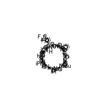 CC[C@H](C)[C@@H]1NC(=O)[C@H](CC(C)C)N(C)C(=O)C[C@@H](C)NC(=O)[C@H](CC(C)C)N(C)C(=O)C2(CCC2)NC(=O)[C@@H]2CCCN2C(=O)[C@H](CCc2ccc(C(F)(F)F)c(F)c2)NC(=O)CN(C)C(=O)[C@H](CC2CCCCC2)N(C)C(=O)CN(C)C(=O)CN(C)C1=O